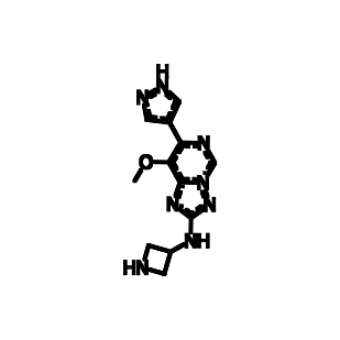 COc1c(-c2cn[nH]c2)ncn2nc(NC3CNC3)nc12